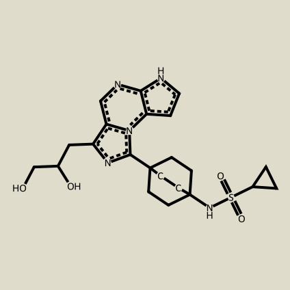 O=S(=O)(NC12CCC(c3nc(CC(O)CO)c4cnc5[nH]ccc5n34)(CC1)CC2)C1CC1